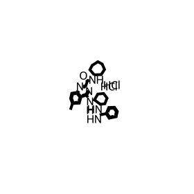 Cc1ccc2nc(C(=O)NC3CCCCCC3)nc(N[C@H]3CCCC[C@H]3NC(=N)c3ccccc3)c2c1.Cl.Cl